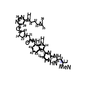 CN/C(C)=C\C(=N)Nc1ncc(C)c(-c2c[nH]c3c(NC(=O)CN4CC[C@H](Oc5cc(NCCCN(C)C)ncn5)C4)cccc23)n1